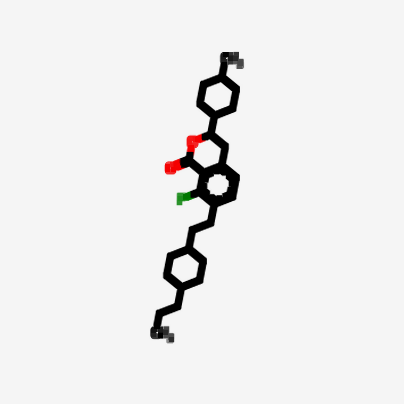 CCCC1CCC(CCc2ccc3c(c2F)C(=O)OC(C2CCC(C)CC2)C3)CC1